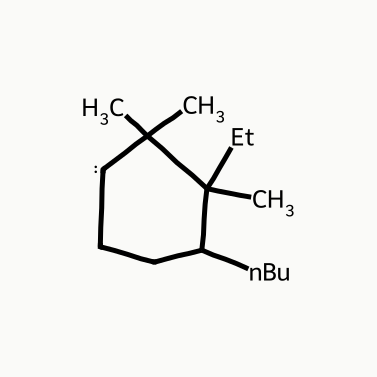 CCCCC1CC[C]C(C)(C)C1(C)CC